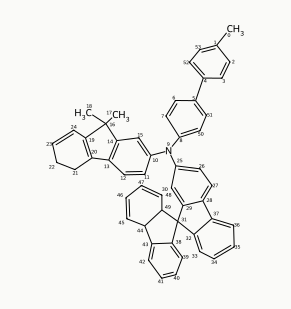 Cc1ccc(-c2ccc(N(c3ccc4c(c3)C(C)(C)C3=C4CCC=C3)c3ccc4c(c3)C3(c5ccccc5-4)c4ccccc4C4C=CC=CC43)cc2)cc1